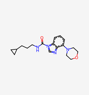 O=C(NCCCC1CC1)n1cnc2c(N3CCOCC3)cccc21